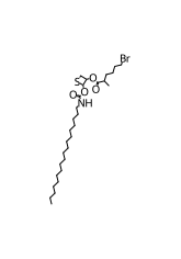 CCCCCCCCCCCCCCCCCCNC(=O)OC1SCC1OC(=O)C(C)CCCCBr